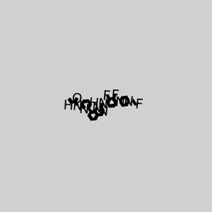 C=CC(=O)Nc1cccc(-c2cccc3cnc(Nc4ccc(N5CCN(CCF)CC5)c(F)c4F)nc23)n1